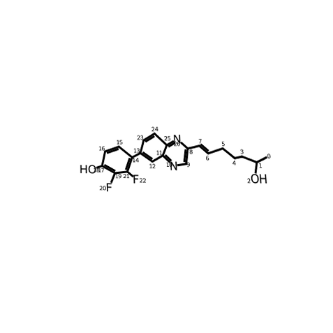 CC(O)CCC/C=C/c1cnc2cc(-c3ccc(O)c(F)c3F)ccc2n1